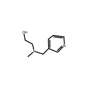 CN(CCO)Cc1cccnc1